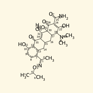 C/C(=N/OC(C)C)c1ccc(O)c2c1CC1CC3C(N(C)C)C(O)=C(C(N)=O)C(=O)C3(O)C(O)=C1C2=O